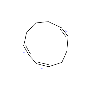 [C]1=C\CC/C=C\CCC\C=C/1